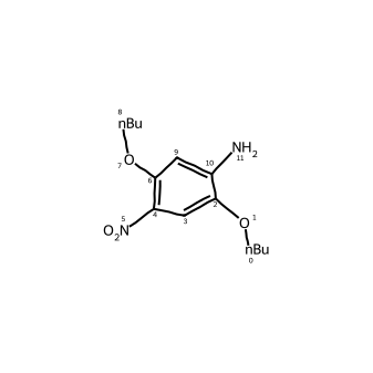 CCCCOc1cc([N+](=O)[O-])c(OCCCC)cc1N